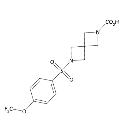 O=C(O)N1CC2(C1)CN(S(=O)(=O)c1ccc(OC(F)(F)F)cc1)C2